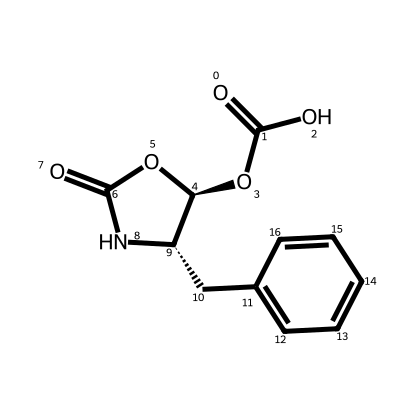 O=C(O)O[C@@H]1OC(=O)N[C@H]1Cc1ccccc1